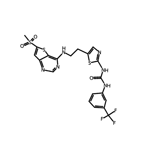 CS(=O)(=O)c1cc2ncnc(NCCc3cnc(NC(=O)Nc4cccc(C(F)(F)F)c4)s3)c2s1